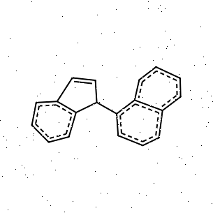 C1=Cc2ccccc2[C]1c1cccc2ccccc12